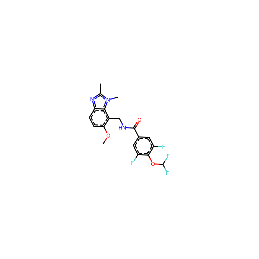 COc1ccc2nc(C)n(C)c2c1CNC(=O)c1cc(F)c(OC(F)F)c(F)c1